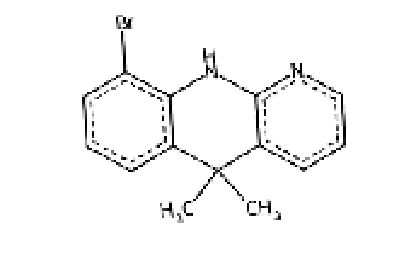 CC1(C)c2cccnc2Nc2c(Br)cccc21